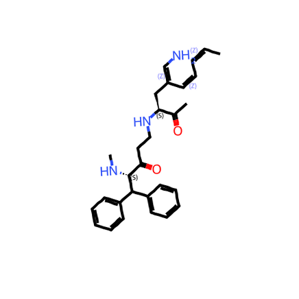 C\C=C/C=C\C(=C/N)C[C@H](NCCC(=O)[C@@H](NC)C(c1ccccc1)c1ccccc1)C(C)=O